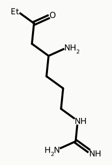 CCC(=O)CC(N)CCCNC(=N)N